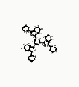 c1ccc(-c2nc(-c3cc(-c4nc(-c5ccccn5)c5ccccn45)cc(-c4nc(-c5ccccn5)c5ccccn45)c3)n3ccccc23)nc1